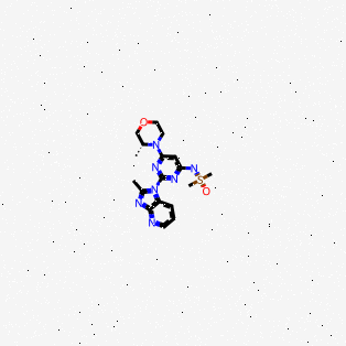 Cc1nc2ncccc2n1-c1nc(N=S(C)(C)=O)cc(N2CCOC[C@H]2C)n1